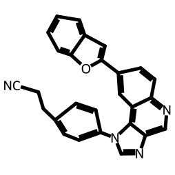 N#CCCc1ccc(-n2cnc3cnc4ccc(-c5cc6ccccc6o5)cc4c32)cc1